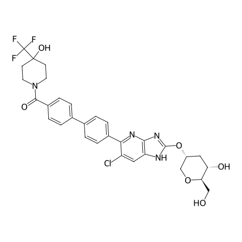 O=C(c1ccc(-c2ccc(-c3nc4nc(O[C@H]5CO[C@H](CO)[C@@H](O)C5)[nH]c4cc3Cl)cc2)cc1)N1CCC(O)(C(F)(F)F)CC1